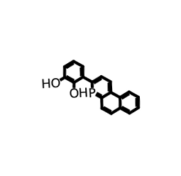 Oc1cccc(-c2ccc3c(ccc4ccccc43)p2)c1O